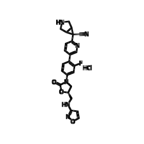 Cl.N#CC1(c2ccc(-c3ccc(N4C[C@@H](CNc5ccon5)OC4=O)cc3F)cn2)C2CNCC21